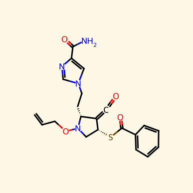 C=CCON1C[C@@H](SC(=O)c2ccccc2)C(=C=O)[C@H]1CCn1cnc(C(N)=O)c1